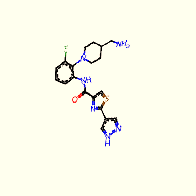 NCC1CCN(c2c(F)cccc2NC(=O)c2csc(-c3cn[nH]c3)n2)CC1